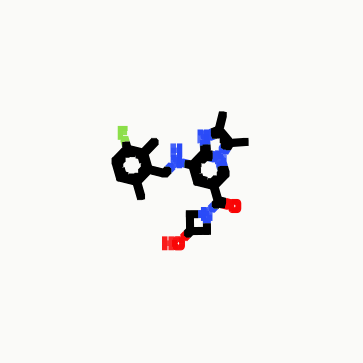 Cc1ccc(F)c(C)c1CNc1cc(C(=O)N2CC(O)C2)cn2c(C)c(C)nc12